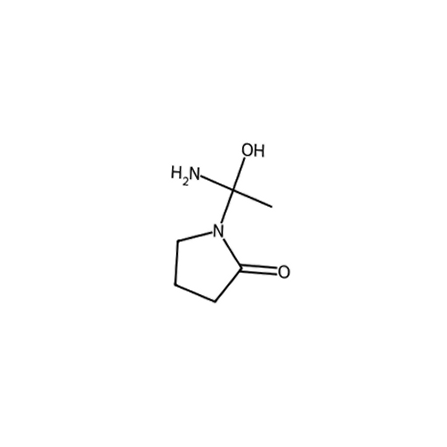 CC(N)(O)N1CCCC1=O